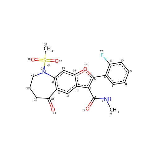 CNC(=O)c1c(-c2ccccc2F)oc2cc3c(cc12)C(=O)CCCN3S(C)(=O)=O